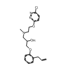 C=CCc1ccccc1OCC(O)CN(C)CCOc1ccc(Cl)nn1